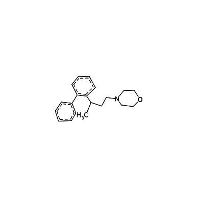 CC(CCN1CCOCC1)c1ccccc1-c1ccccc1